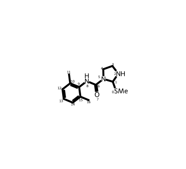 CSC1NCCN1C(=O)Nc1c(C)cccc1C